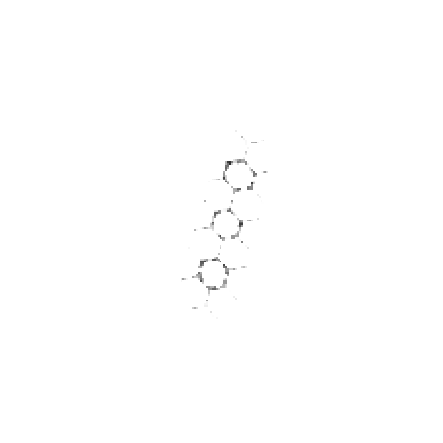 Cc1c(C)c(-c2c(C)c(C)c(N(C)C)c(C)c2C)c(C)c(C)c1-c1c(C)c(C)c(N(C)C)c(C)c1C